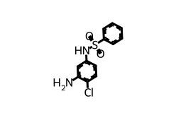 Nc1cc(NS(=O)(=O)c2ccccc2)ccc1Cl